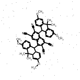 COC1=CC2C(C=C1)C(c1c(C#N)c(C#N)cc3c(C4c5ccc(OC)cc5C(C)(C)c5cc(OC)ccc54)c(C#N)c(C#N)cc13)c1ccc(OC)cc1C2(C)C